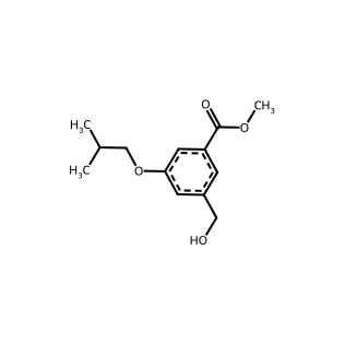 COC(=O)c1cc(CO)cc(OCC(C)C)c1